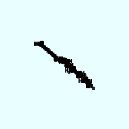 CN[C@@H](CCCCNC(=O)[C@@H](N)CCCCNC(=O)[C@@H](N)CCCCNC(=O)CC[C@H](NC(=O)C1CCC(CNC(=O)CCCCCCCCCCCCCCCCCCC(=O)O)CC1)C(=O)O)C(=O)CNC(C)(C)C(=O)CN